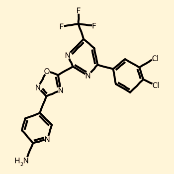 Nc1ccc(-c2noc(-c3nc(-c4ccc(Cl)c(Cl)c4)cc(C(F)(F)F)n3)n2)cn1